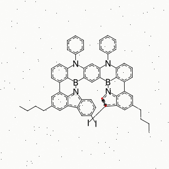 CCCCc1cc2c3c(c1)c1cc(I)ccc1n3B1c3cc4c(cc3N(c3ccccc3)c3cccc-2c31)N(c1ccccc1)c1cccc2c1B4n1c3ccc(I)cc3c3cc(CCCC)cc-2c31